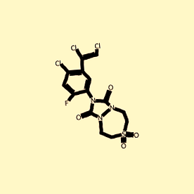 O=c1n(-c2cc(C(Cl)=CCl)c(Cl)cc2F)c(=O)n2n1CCS(=O)(=O)CC2